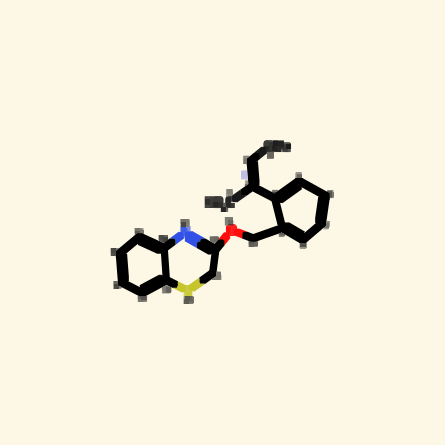 CO/C=C(/C(=O)O)c1ccccc1COC1=Nc2ccccc2SC1